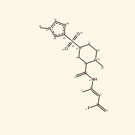 C=C(F)/C=C(\C)NC(=C)C1CN(S(=O)(=O)c2cn(C)cn2)CCN1C